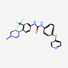 CN1CCN(c2ccc(NC(=O)Nc3ccc(Oc4ccncc4)cc3)cc2C(F)(F)F)CC1